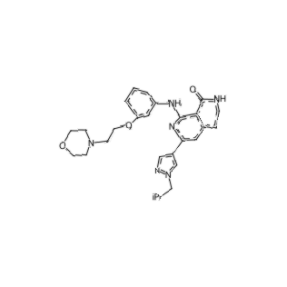 CC(C)Cn1cc(-c2cc3cc[nH]c(=O)c3c(Nc3cccc(OCCN4CCOCC4)c3)n2)cn1